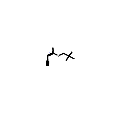 C#C/C=C(/C)SCC(C)(C)C